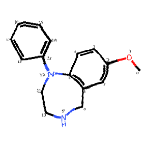 COc1ccc2c(c1)CNCCN2c1ccccc1